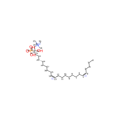 CCCC/C=C\CCCCCCC/C=C\CCCCCCCCC(O)(C[N+](C)(C)C)P(=O)(O)O